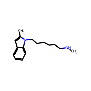 CNCCCCCCn1c(C)cc2ccccc21